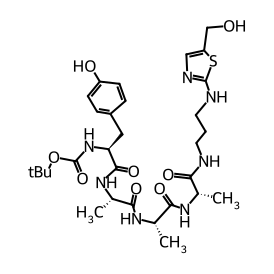 C[C@H](NC(=O)[C@H](C)NC(=O)[C@H](C)NC(=O)[C@H](Cc1ccc(O)cc1)NC(=O)OC(C)(C)C)C(=O)NCCCNc1ncc(CO)s1